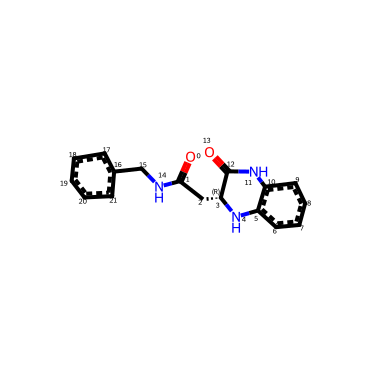 O=C(C[C@H]1Nc2ccccc2NC1=O)NCc1ccccc1